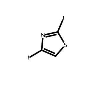 Ic1csc(I)n1